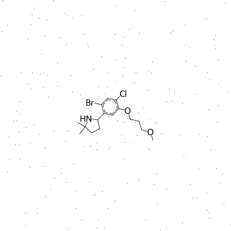 COCCCOc1cc(C2CCC(C)(C)N2)c(Br)cc1Cl